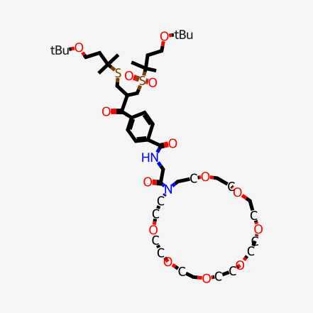 CC(C)(C)OCCC(C)(C)SCC(CS(=O)(=O)C(C)(C)CCOC(C)(C)C)C(=O)c1ccc(C(=O)NCC(=O)N2CCOCCOCCOCCOCCOCCOCCOCC2)cc1